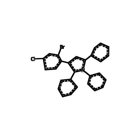 Clc1ccc(-c2cc(-c3ccccc3)n(-c3ccccc3)c2-c2ccccc2)c(Br)c1